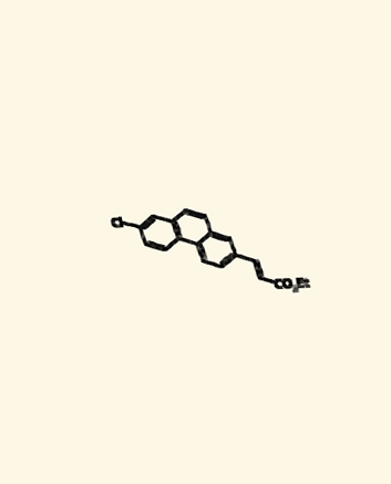 CCOC(=O)C=Cc1ccc2c(ccc3cc(Cl)ccc32)c1